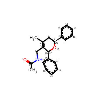 CC(=O)NCC1=C(C)C[C@@H](c2ccccc2)O[C@H]1c1ccccc1